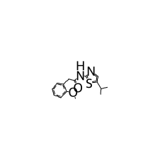 COc1ccccc1CC(=O)Nc1ncc(C(C)C)s1